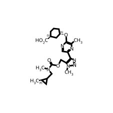 Cc1nc(-c2nnn(C)c2COC(=O)N(C)CC2C[C@H]2C)cnc1O[C@H]1CCC[C@H](C(=O)O)C1